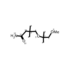 COCC(C)(C)OCC(C)(C)CC(N)=O